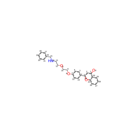 O=c1cc(-c2ccc(OCCOCCNCc3ccccc3)cc2)oc2ccccc12